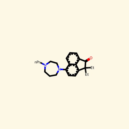 CCCN1CCCN(c2ccc3c4c(cccc24)C(=O)C3(CC)CC)CC1